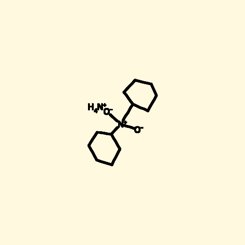 [NH4+].[O-][N+]([O-])(C1CCCCC1)C1CCCCC1